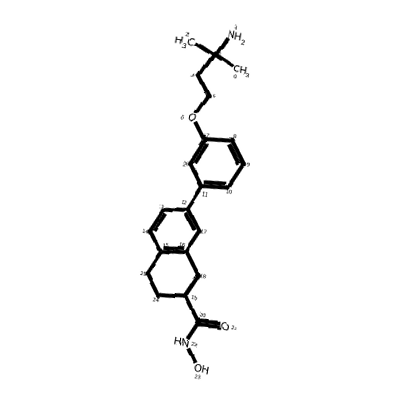 CC(C)(N)CCOc1cccc(-c2ccc3c(c2)CC(C(=O)NO)CC3)c1